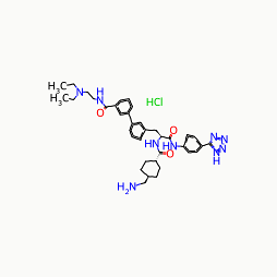 CCN(CC)CCNC(=O)c1cccc(-c2cccc(C[C@H](NC(=O)[C@H]3CC[C@H](CN)CC3)C(=O)Nc3ccc(-c4nnn[nH]4)cc3)c2)c1.Cl